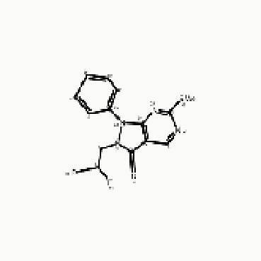 CSc1ncc2c(=O)n(CC(F)F)n(-c3ccccc3)c2n1